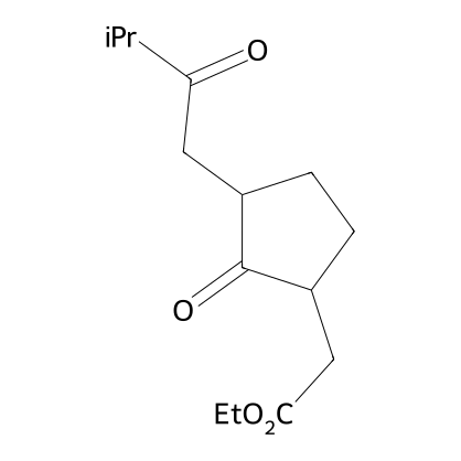 CCOC(=O)CC1CCC(CC(=O)C(C)C)C1=O